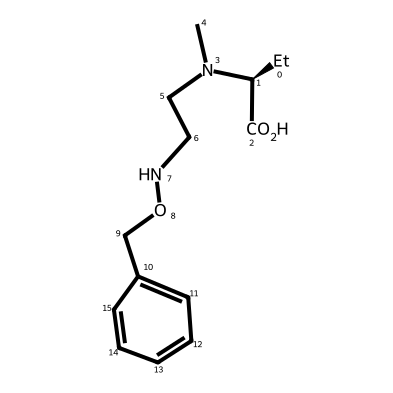 CC[C@@H](C(=O)O)N(C)CCNOCc1ccccc1